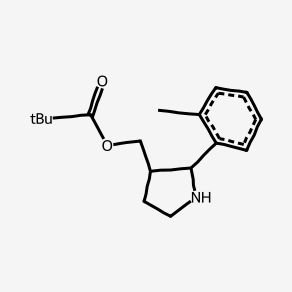 Cc1ccccc1C1NCCC1COC(=O)C(C)(C)C